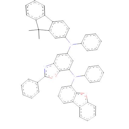 CC1(C)c2ccccc2-c2ccc(N(c3ccccc3)c3cc(N(c4ccccc4)c4cccc5c4oc4ccccc45)c4oc(-c5ccccc5)nc4c3)cc21